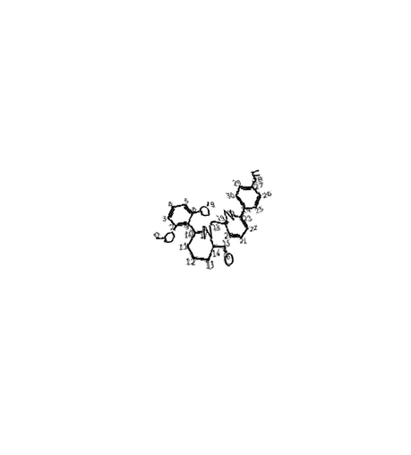 COc1cccc(OC)c1C1CCCC(C=O)N1Cc1cccc(-c2ccc(F)cc2)n1